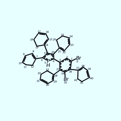 Brc1cc(-c2[pH]c(C3=CC=CCC3)c(C3=CC=CCC3)c2C2=CC=CCC2)c(C2=CC=CCC2)c(Br)c1C1=CC=CCC1